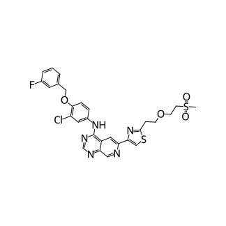 CS(=O)(=O)CCOCCc1nc(-c2cc3c(Nc4ccc(OCc5cccc(F)c5)c(Cl)c4)ncnc3cn2)cs1